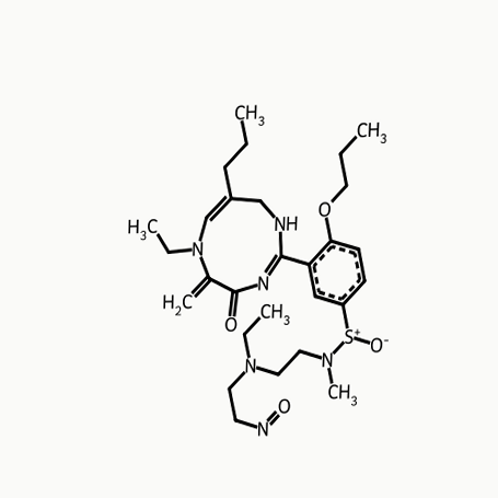 C=C1C(=O)/N=C(/c2cc([S+]([O-])N(C)CCN(CC)CCN=O)ccc2OCCC)NC/C(CCC)=C\N1CC